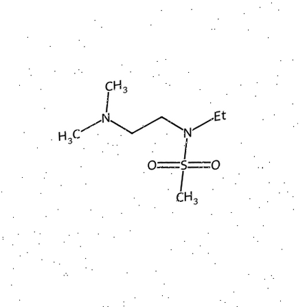 CCN(CCN(C)C)S(C)(=O)=O